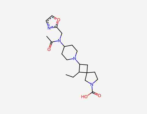 CCC1C(N2CCC(N(Cc3ncco3)C(C)=O)CC2)CC12CCN(C(=O)O)C2